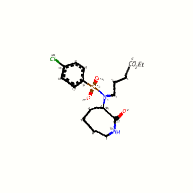 CCOC(=O)CCCN([C@@H]1CCCCNC1=O)S(=O)(=O)c1ccc(Cl)cc1